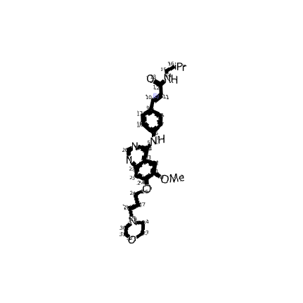 COc1cc2c(Nc3ccc(/C=C/C(=O)NCC(C)C)cc3)ncnc2cc1OCCCN1CCOCC1